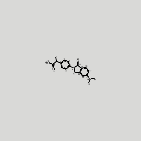 CC(C(=O)O)c1ccc(N2Cc3cc(N(C)C)ccc3C2=O)cc1